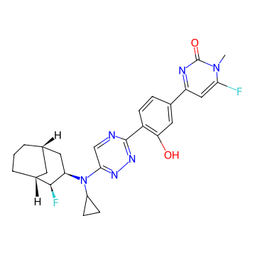 Cn1c(F)cc(-c2ccc(-c3ncc(N(C4CC4)[C@@H]4C[C@H]5CCC[C@H](C5)[C@@H]4F)nn3)c(O)c2)nc1=O